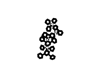 c1ccc(-c2cc(-c3ccccc3)cc([Si](c3ccccc3)(c3ccccc3)c3cc(-c4ccccc4)c(-n4c5ccccc5c5cc(-n6c7ccccc7c7ccc([Si](c8ccccc8)(c8ccccc8)c8ccccc8)cc76)ccc54)c(-c4ccccc4)c3)c2)cc1